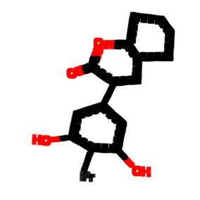 CC(C)c1c(O)cc(-c2cc3ccccc3oc2=O)cc1O